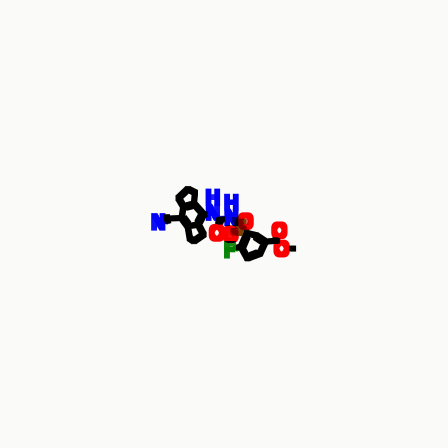 COC(=O)c1ccc(F)c(S(=O)(=O)NC(=O)Nc2c3c(c(C#N)c4c2CCC4)CCC3)c1